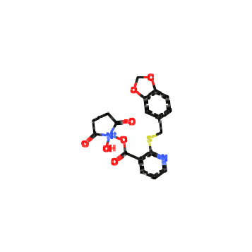 O=C(O[N+]1(O)C(=O)CCC1=O)c1cccnc1SCc1ccc2c(c1)OCO2